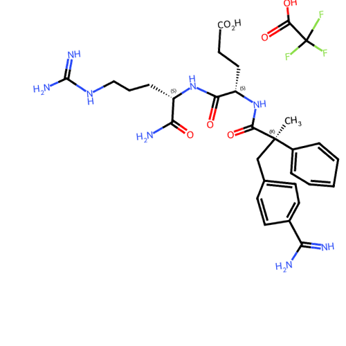 C[C@](Cc1ccc(C(=N)N)cc1)(C(=O)N[C@@H](CCC(=O)O)C(=O)N[C@@H](CCCNC(=N)N)C(N)=O)c1ccccc1.O=C(O)C(F)(F)F